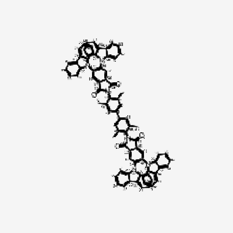 Cc1cc(-c2cc(C)c(N3C(=O)c4cc(-n5c6ccccc6c6ccccc65)c(-n5c6ccccc6c6ccccc65)cc4C3=O)c(C)c2)cc(C)c1N1C(=O)c2cc(-n3c4ccccc4c4ccccc43)c(-n3c4ccccc4c4ccccc43)cc2C1=O